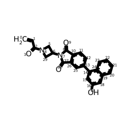 C=CC(=O)N1CC(N2C(=O)c3ccc(-c4cc(O)cc5ccccc45)cc3C2=O)C1